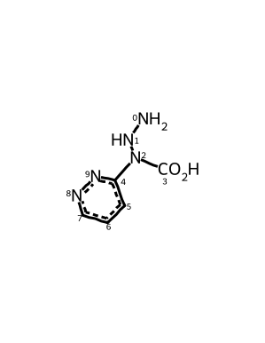 NNN(C(=O)O)c1cccnn1